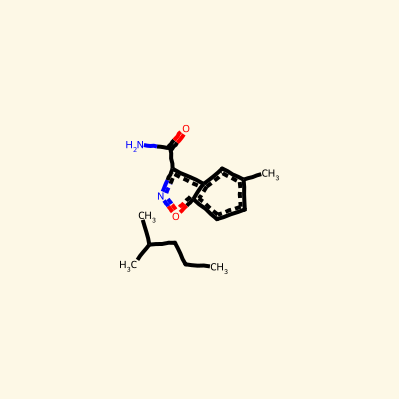 CCCC(C)C.Cc1ccc2onc(C(N)=O)c2c1